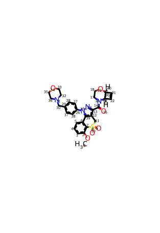 COc1cccc2c1S(=O)(=O)Cc1c(C(=O)N3CCO[C@@H]4C=C[C@@H]43)nn(-c3ccc(CN4CCOCC4)cc3)c1-2